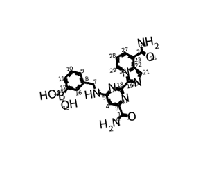 NC(=O)c1cc(NCc2cccc(B(O)O)c2)nc(-c2ncc3c(C(N)=O)cccn23)n1